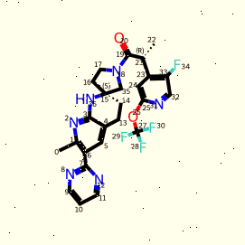 Cc1nc2c(cc1-c1ncccn1)CC[C@@]1(CCN(C(=O)[C@H](C)c3cc(OC(F)(F)F)ncc3F)C1)N2